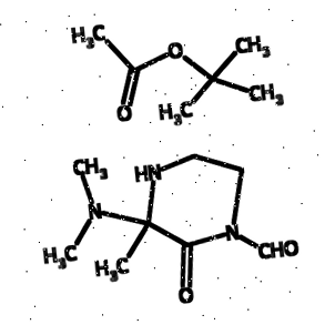 CC(=O)OC(C)(C)C.CN(C)C1(C)NCCN(C=O)C1=O